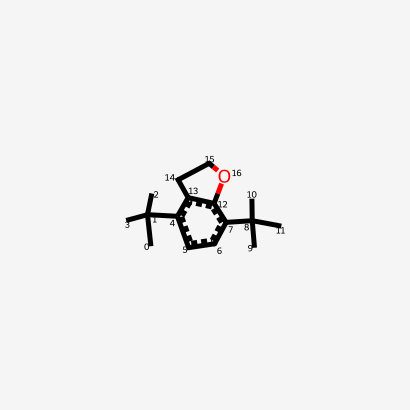 CC(C)(C)c1ccc(C(C)(C)C)c2c1CCO2